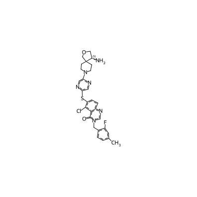 Cc1ccc(Cn2cnc3ccc(Sc4cnc(N5CCC6(CC5)COC[C@H]6N)cn4)c(Cl)c3c2=O)c(F)c1